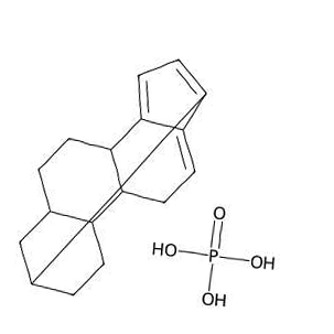 C1=C2C3=CC=C2C2CCC4CC3CCC4C2C1.O=P(O)(O)O